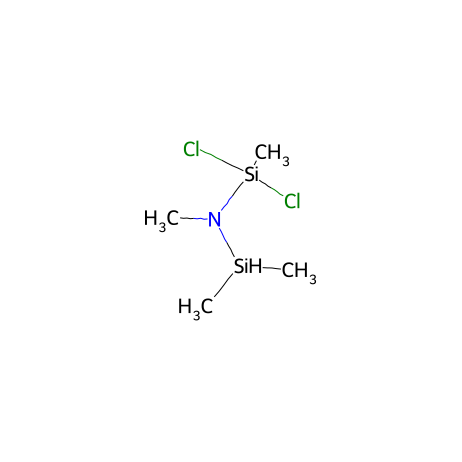 CN([SiH](C)C)[Si](C)(Cl)Cl